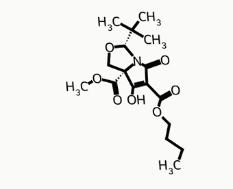 CCCCOC(=O)C1=C(O)[C@@]2(C(=O)OC)CO[C@H](C(C)(C)C)N2C1=O